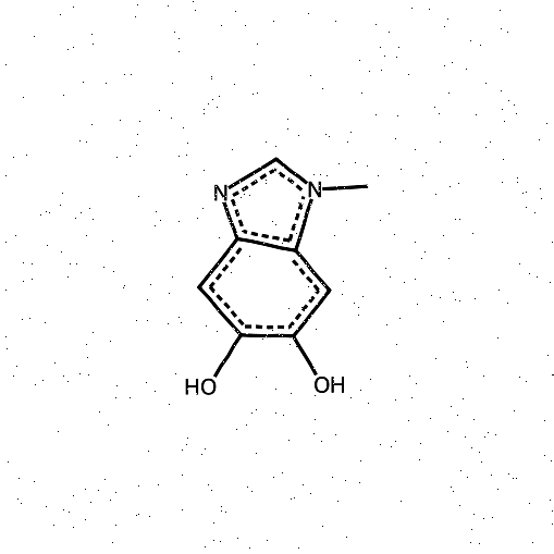 Cn1cnc2cc(O)c(O)cc21